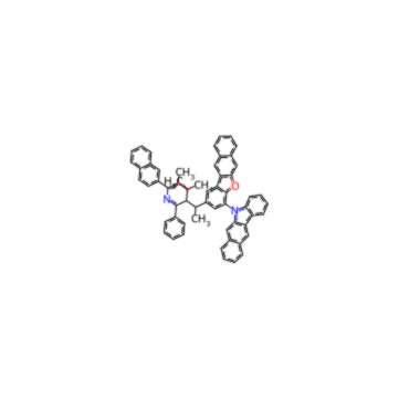 CC/C(C)=C(\N=C(\c1ccccc1)C(CC)C(C)c1cc(-n2c3ccccc3c3cc4ccccc4cc32)c2oc3cc4ccccc4cc3c2c1)c1ccc2ccccc2c1